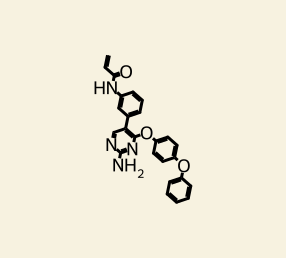 C=CC(=O)Nc1cccc(-c2cnc(N)nc2Oc2ccc(Oc3ccccc3)cc2)c1